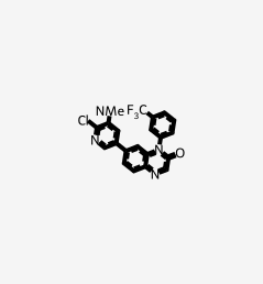 CNc1cc(-c2ccc3ncc(=O)n(-c4cccc(C(F)(F)F)c4)c3c2)cnc1Cl